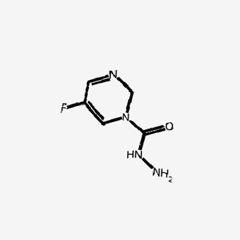 NNC(=O)N1C=C(F)C=NC1